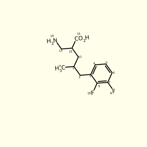 CC(Cc1cccc(F)c1F)CC(CN)C(=O)O